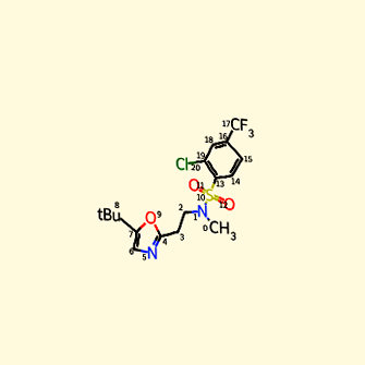 CN(CCc1ncc(C(C)(C)C)o1)S(=O)(=O)c1ccc(C(F)(F)F)cc1Cl